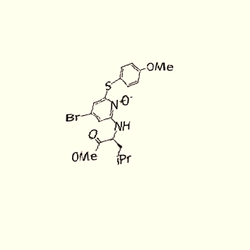 COC(=O)[C@H](CC(C)C)Nc1cc(Br)cc(Sc2ccc(OC)cc2)[n+]1[O-]